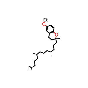 CCOc1ccc2c(c1)CC[C@@](C)(CCC[C@H](C)CCC[C@H](C)CCCC(C)C)O2